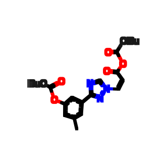 Cc1cc(OC(=O)OCC(C)C)cc(-c2ncn(/C=C\C(=O)OC(=O)OCC(C)C)n2)c1